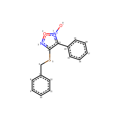 [O-][n+]1onc(SCc2ccccc2)c1-c1ccccc1